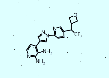 Nc1nccc(-c2cnn(-c3ccc(C(C4COC4)C(F)(F)F)cn3)c2)c1N